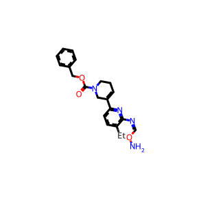 CCc1ccc(C2=CCCN(C(=O)OCc3ccccc3)C2)nc1/N=C\ON